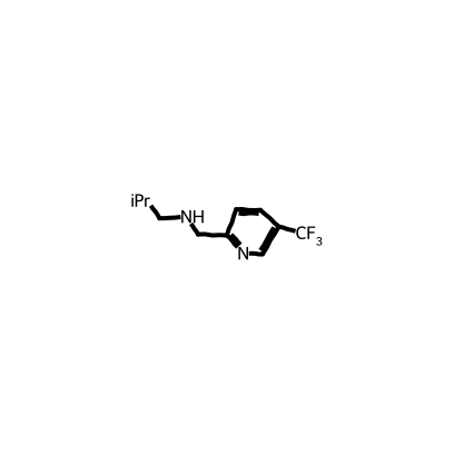 CC(C)CNCc1ccc(C(F)(F)F)cn1